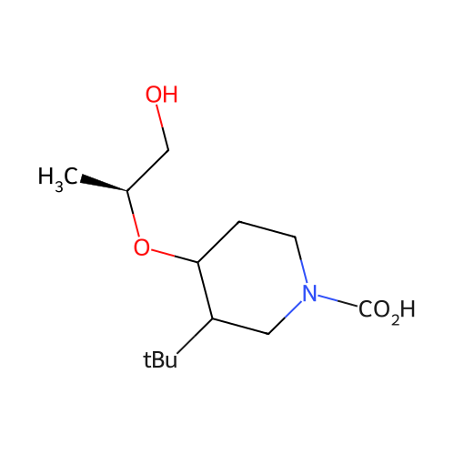 C[C@@H](CO)OC1CCN(C(=O)O)CC1C(C)(C)C